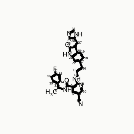 C[C@H](NC(=O)c1cc(C#N)cnc1NCC=Cc1ccc2c(c1)NC(=O)C2=Cc1cnc[nH]1)c1ccc(F)cc1